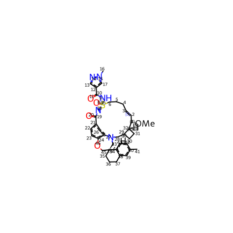 CO[C@H]1/C=C/CCC[S@@](=O)(NC(=O)c2cnn(C)c2)=NC(=O)c2ccc3c(c2)N(C[C@@H]2CC[C@H]21)C[C@@]1(CCCc2cc(C)ccc21)CO3